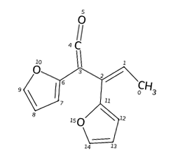 CC=C(C(=C=O)c1ccco1)c1ccco1